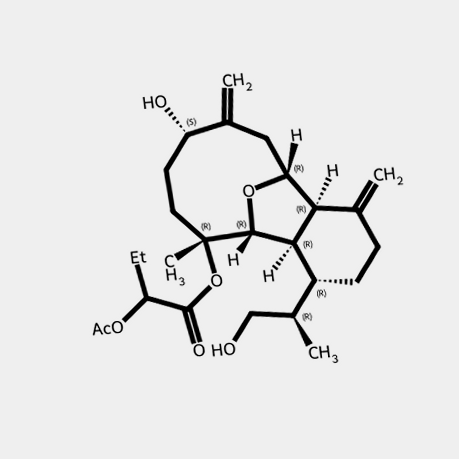 C=C1CC[C@H]([C@@H](C)CO)[C@@H]2[C@H]1[C@H]1CC(=C)[C@@H](O)CC[C@@](C)(OC(=O)C(CC)OC(C)=O)[C@@H]2O1